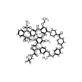 CCOc1cc(N2CCC(C(=O)N3CCC(Cc4ccc(CN(C)Cc5ccc(-n6c(C(=O)NCC(F)(F)F)nnc6-c6cc(C)c(O)cc6O)cc5)cc4)CC3)CC2)ccc1Nc1ncc2c(n1)N(S(C)(=O)=O)c1ccccc1C(=O)N2C